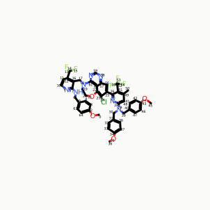 COc1ccc(CNc2nccc(C(F)F)c2CN2CCOc3c(Cl)c(-c4nc(N(Cc5ccc(OC)cc5)Cc5ccc(OC)cc5)cc(C)c4C(F)(F)F)cc4ncnc2c34)cc1